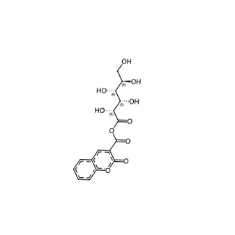 O=C(OC(=O)[C@H](O)[C@@H](O)[C@H](O)[C@H](O)CO)c1cc2ccccc2oc1=O